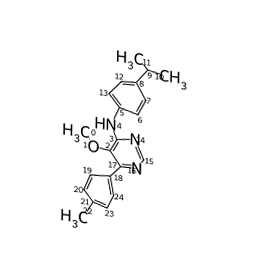 COc1c(Nc2ccc(C(C)C)cc2)ncnc1-c1ccc(C)cc1